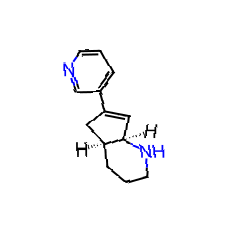 C1=C(c2cccnc2)C[C@@H]2CCCN[C@H]12